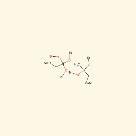 CCO[Si](C)(COC)OCC.CCO[Si](COC)(OCC)OCC